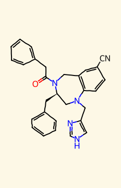 N#Cc1ccc2c(c1)CN(C(=O)Cc1ccccc1)[C@H](Cc1ccccc1)CN2Cc1c[nH]cn1